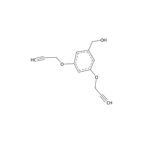 C#CCOc1cc(CO)cc(OCC#C)c1